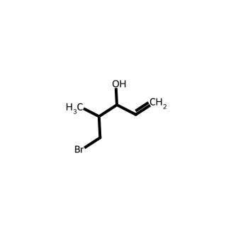 C=CC(O)C(C)CBr